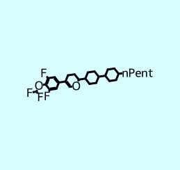 CCCCCC1CCC(C2CCC(C3CCC(c4cc(F)c(OC(F)F)c(F)c4)=CO3)CC2)CC1